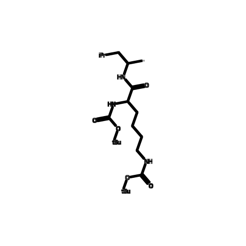 [CH2]C(CC(C)C)NC(=O)C(CCCCNC(=O)OC(C)(C)C)NC(=O)OC(C)(C)C